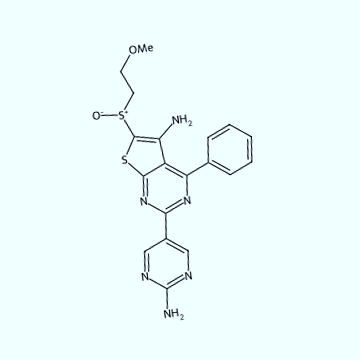 COCC[S+]([O-])c1sc2nc(-c3cnc(N)nc3)nc(-c3ccccc3)c2c1N